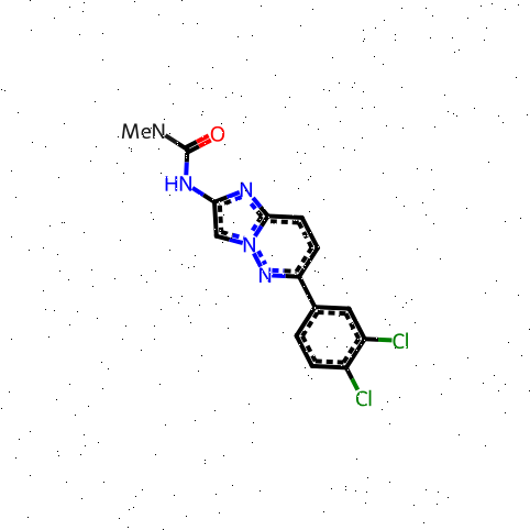 CNC(=O)Nc1cn2nc(-c3ccc(Cl)c(Cl)c3)ccc2n1